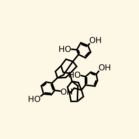 Oc1ccc(C23CC4CC(C2)CC(C25CC6CC(c7ccc(O)cc7O)(CC(c7ccc(O)cc7O)(C6)C2)C5)(C4)C3)c(O)c1